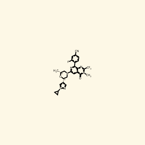 C[C@@H]1CN(c2cc3c(=O)n(C)c(C(F)(F)F)nc3c(-c3ccc(C#N)cc3F)n2)C[C@H](c2cnn(C3CC3)c2)O1